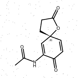 CC(=O)NC1=C[C@]2(C=CC1=O)CCC(=O)O2